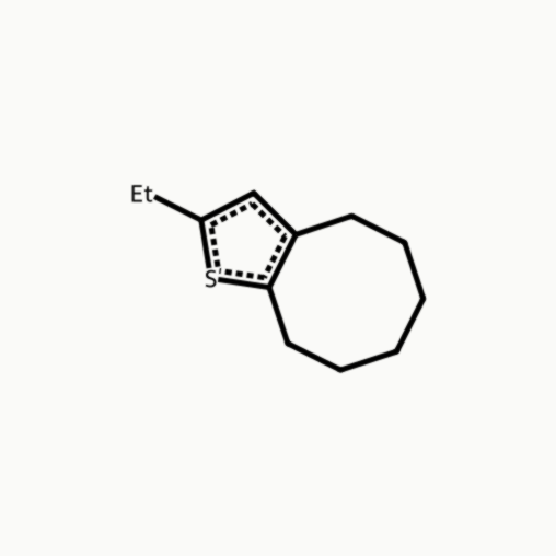 CCc1cc2c(s1)CCCCCC2